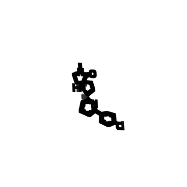 CN1CC[C@]2(CC[C@H](c3cccc(-c4ccc(Cl)cc4)n3)N2)C1=O